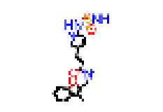 CNS(=O)(=O)Nc1ccc(/C=C/C(=O)N(C)Cc2oc3ccccc3c2C)cn1